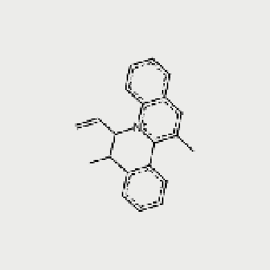 C=CC1C(C)c2ccccc2-c2c(C)cc3ccccc3[n+]21